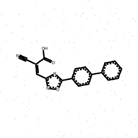 N#CC(=Cc1noc(-c2ccc(-c3ccccc3)cc2)n1)C(=O)O